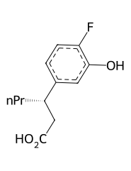 CCC[C@@H](CC(=O)O)c1ccc(F)c(O)c1